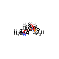 C[C@@H](O[Si](C)(C)C)[C@H]1C(=O)N(C(C(=O)O)=P(c2ccccc2)(c2ccccc2)c2ccccc2)[C@@H]1CC(=O)c1ccc(CN2CCN([Si](C)(C)C)C2=O)cc1